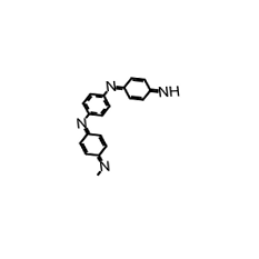 CN=C1C=CC(=Nc2ccc(N=C3C=CC(=N)C=C3)cc2)C=C1